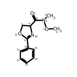 CON(C)C(=O)C1COC(c2ccccc2)=N1